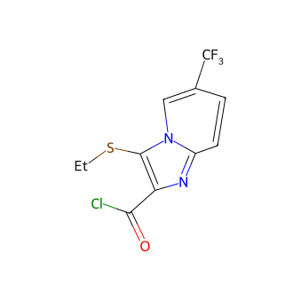 CCSc1c(C(=O)Cl)nc2ccc(C(F)(F)F)cn12